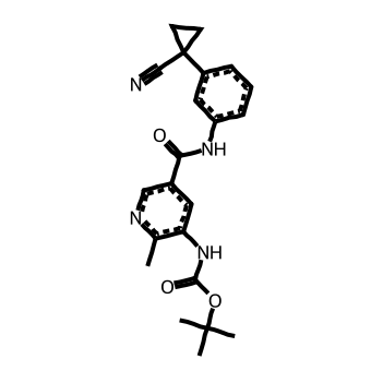 Cc1ncc(C(=O)Nc2cccc(C3(C#N)CC3)c2)cc1NC(=O)OC(C)(C)C